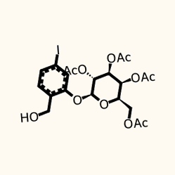 CC(=O)OC[C@H]1O[C@@H](Oc2cc(I)ccc2CO)[C@H](OC(C)=O)[C@@H](OC(C)=O)[C@H]1OC(C)=O